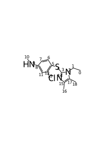 CCn1c(Sc2ccc(NC)cc2Cl)nc(C)c1C